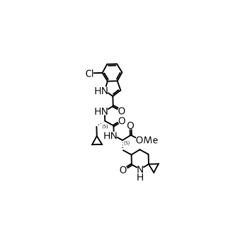 COC(=O)[C@H](CC1CCC2(CC2)NC1=O)NC(=O)[C@H](CC1CC1)NC(=O)c1cc2cccc(Cl)c2[nH]1